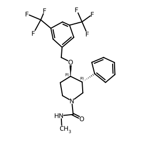 CNC(=O)N1CC[C@@H](OCc2cc(C(F)(F)F)cc(C(F)(F)F)c2)[C@H](c2ccccc2)C1